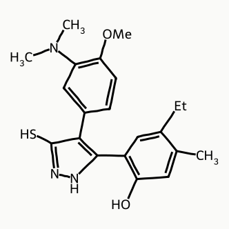 CCc1cc(-c2[nH]nc(S)c2-c2ccc(OC)c(N(C)C)c2)c(O)cc1C